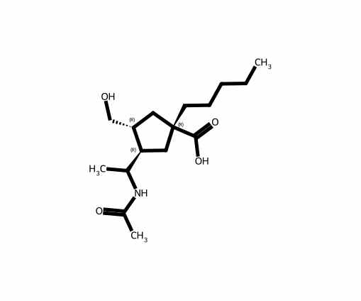 CCCCC[C@]1(C(=O)O)C[C@@H](CO)[C@H](C(C)NC(C)=O)C1